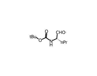 CCC[C@@H]([C]=O)NC(=O)OC(C)(C)C